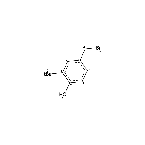 CC(C)(C)c1cc(CBr)ccc1O